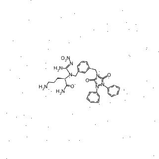 NCCC[C@H](C(N)=O)N(Cc1cccc(Cn2c(=O)n(-c3ccccc3)n(-c3ccccc3)c2=O)c1)C(N)=N[N+](=O)[O-]